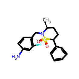 C[C@H]1CCC(c2ccccc2)S(=O)(=O)N1Cc1ccc(N)cc1F